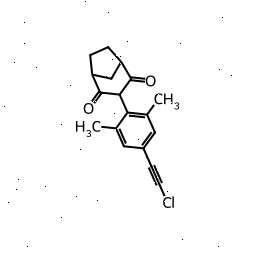 Cc1cc(C#CCl)cc(C)c1C1C(=O)C2CCC(C2)C1=O